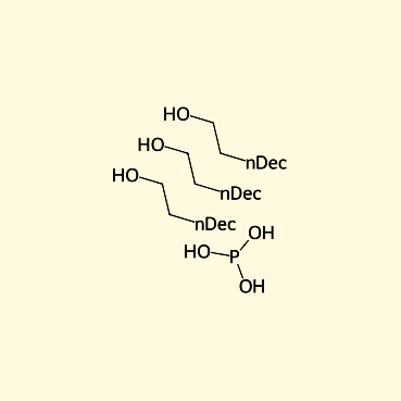 CCCCCCCCCCCCO.CCCCCCCCCCCCO.CCCCCCCCCCCCO.OP(O)O